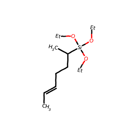 CC=CCCC(C)[Si](OCC)(OCC)OCC